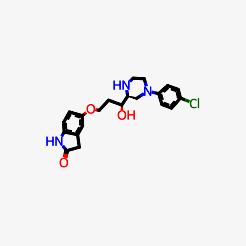 O=C1Cc2cc(OCC[C@H](O)[C@@H]3CN(c4ccc(Cl)cc4)CCN3)ccc2N1